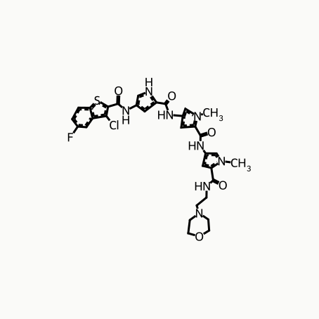 Cn1cc(NC(=O)c2cc(NC(=O)c3cc(NC(=O)c4sc5ccc(F)cc5c4Cl)c[nH]3)cn2C)cc1C(=O)NCCN1CCOCC1